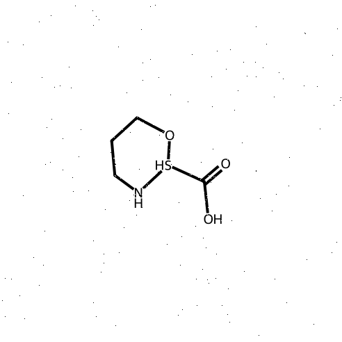 O=C(O)[SH]1NCCCO1